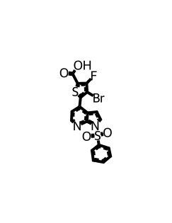 O=C(O)c1sc(-c2ccnc3c2ccn3S(=O)(=O)c2ccccc2)c(Br)c1F